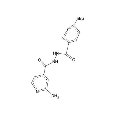 CCCCc1ccc(C(=O)NNC(=O)c2ccnc(N)c2)nc1